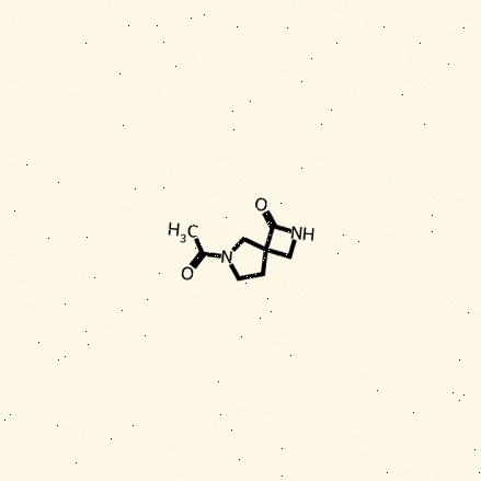 CC(=O)N1CCC2(CNC2=O)C1